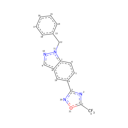 FC(F)(F)c1nc(-c2ccc3c(cnn3Cc3ccccc3)c2)no1